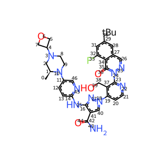 C[C@H]1CN(C2COC2)CCN1c1ccc(Nc2nn(-c3ccnc(-n4ncc5cc(C(C)(C)C)cc(F)c5c4=O)c3CO)cc2C(N)=O)nc1